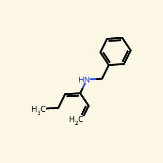 C=C/C(=C\CC)NCc1ccccc1